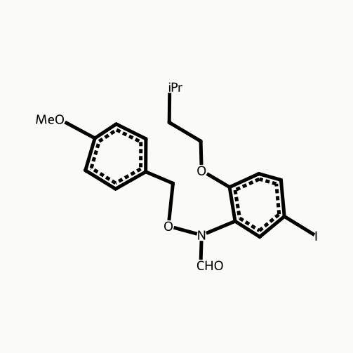 COc1ccc(CON(C=O)c2cc(I)ccc2OCCC(C)C)cc1